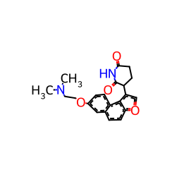 CN(C)CCOc1ccc2c(ccc3occ(C4CCC(=O)NC4=O)c32)c1